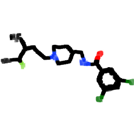 CC(CCN1CCC(CNC(=O)c2cc(Cl)cc(Cl)c2)CC1)C(F)C(C)(C)C